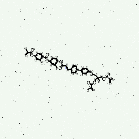 C=C(C)C(=O)OCC(C)(CCOc1ccc(-c2ccc(/C=C/C(=O)Oc3ccc(OC(=O)c4ccc(OC(=O)C(=C)C)cc4CC)cc3C)cc2)cc1)COC(=O)C(=C)C